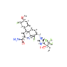 CCC(O)(c1cn(Cc2ccc3c(-c4ccc(OC)c(F)c4)cc(C(N)=O)nc3c2F)cn1)C(F)(F)F